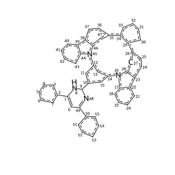 C1=C(c2ccccc2)NC(c2cc3cc(c2)n2c4ccccc4c4ccc(cc42)c2ccccc2c2ccc4c5ccccc5n3c4c2)N=C1c1ccccc1